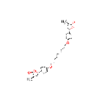 C=C1CC(c2ccc(OCCCCCCCCCOc3ccc(C4CC(=C)C(=O)O4)cc3)cc2)OC1=O